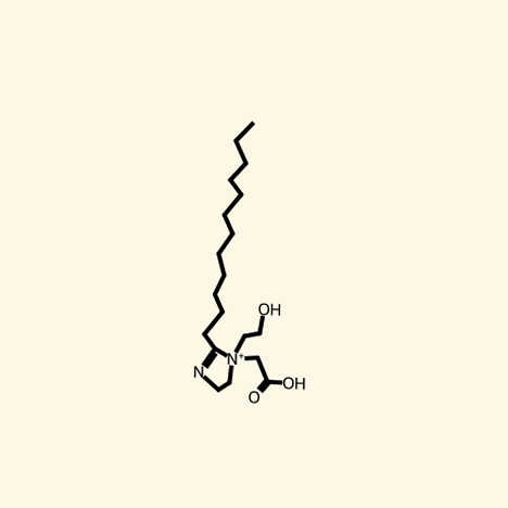 CCCCCCCCCCCCC1=NCC[N+]1(CCO)CC(=O)O